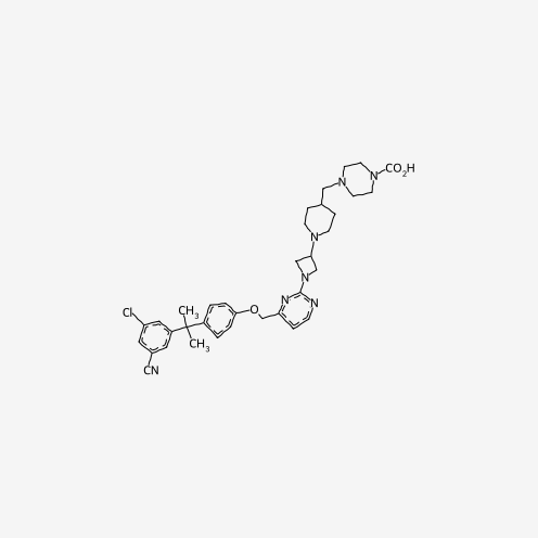 CC(C)(c1ccc(OCc2ccnc(N3CC(N4CCC(CN5CCN(C(=O)O)CC5)CC4)C3)n2)cc1)c1cc(Cl)cc(C#N)c1